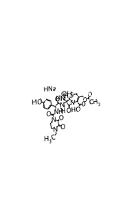 CCN1CCN(C(=O)NC(C(=O)N[C@]2(NO)C(=O)N3C(C(=O)O)=C(COC(C)=O)CS[C@@H]32)c2ccc(O)cc2)C(=O)C1=O.[NaH]